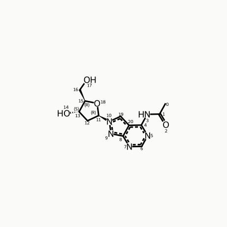 CC(=O)Nc1ncnc2nn([C@H]3C[C@H](O)[C@@H](CO)O3)cc12